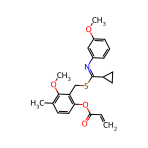 C=CC(=O)Oc1ccc(C)c(OC)c1CSC(=Nc1cccc(OC)c1)C1CC1